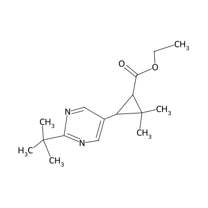 CCOC(=O)C1C(c2cnc(C(C)(C)C)nc2)C1(C)C